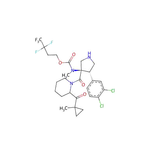 CN(C(=O)OCCC(F)(F)C(F)(F)F)[C@@]1(C(=O)N2CCCCC2C(=O)C2(C)CC2)CNC[C@@H]1c1ccc(Cl)c(Cl)c1